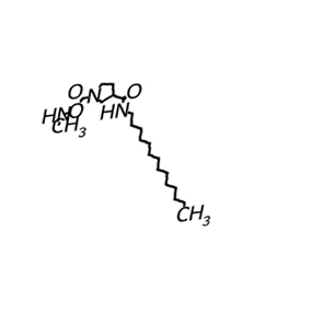 CCCCCCCCCCCCCCNC(=O)C1CCN(C(=O)ONC)C1